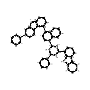 c1ccc(-c2ccc3c(c2)oc2cccc(-c4ccc(-c5nc(-c6ccccc6)nc(-c6cccc7c6oc6ccccc67)n5)c5ccccc45)c23)cc1